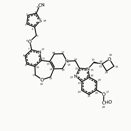 N#Cc1ccc(COc2ccc3c(n2)C2=C(COC3)CN(Cc3nc4ccc(OC=O)cc4n3C[C@@H]3CCO3)CC2)s1